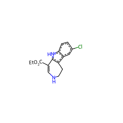 CCOC(=O)C1=CNCCc2c1[nH]c1ccc(Cl)cc21